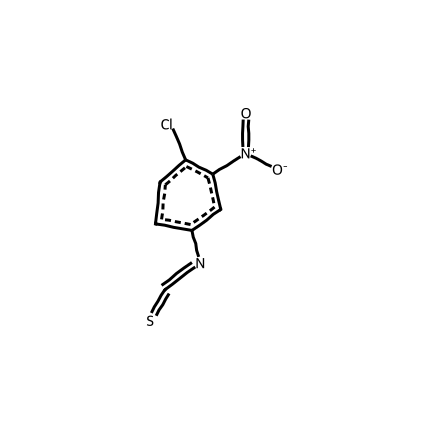 O=[N+]([O-])c1cc(N=C=S)ccc1Cl